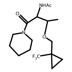 CC(=O)NC(C(=O)N1CCCCC1)C(C)OCC1(C(F)(F)F)CC1